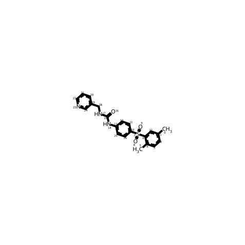 Cc1ccc(C)c(S(=O)(=O)c2ccc(NC(=O)NCc3cccnc3)cc2)c1